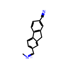 C/N=C\c1ccc2c(c1)Cc1cc(C#N)ccc1-2